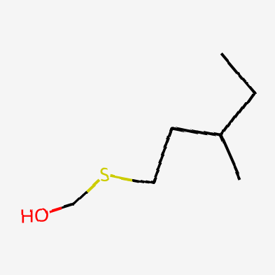 CCC(C)CCSCO